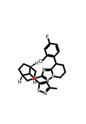 Cc1cc(N2C[C@H]3CC[C@@H](C2)C3Nc2nc3n(n2)CCCC3c2ccc(F)cc2Cl)sn1